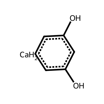 Oc1cccc(O)c1.[CaH2]